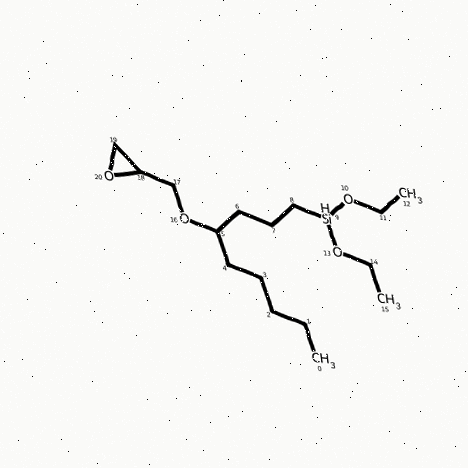 CCCCCC(CCC[SiH](OCC)OCC)OCC1CO1